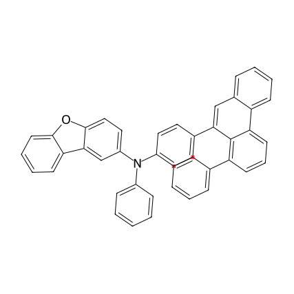 c1ccc(-c2cccc3c2c(-c2ccc(N(c4ccccc4)c4ccc5oc6ccccc6c5c4)cc2)cc2ccccc23)cc1